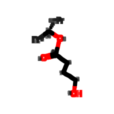 CCC[C@@H](CC)OC(=O)CCCO